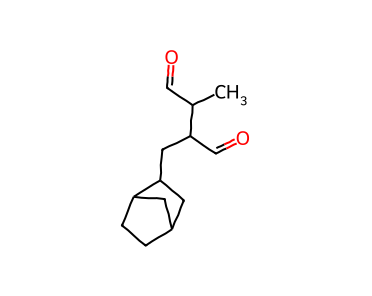 CC(C=O)C(C=O)CC1CC2CCC1C2